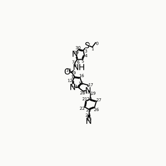 CCSc1ccc(CNC(=O)c2cnc3c(c2)CN(Cc2ccc(C#N)cc2)C3)nc1